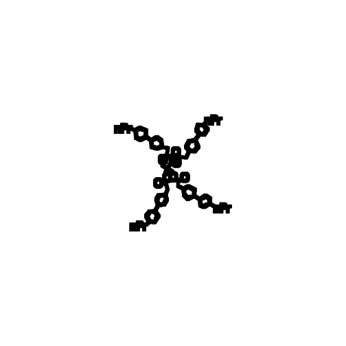 CCCc1ccc(-c2ccc(CC(=O)OCC(COC(=O)Cc3ccc(-c4ccc(CCC)cc4)cc3)(COC(=O)Cc3ccc(-c4ccc(CCC)cc4)cc3)COC(=O)Cc3ccc(-c4ccc(CCC)cc4)cc3)cc2)cc1